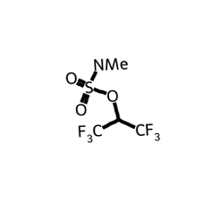 CNS(=O)(=O)OC(C(F)(F)F)C(F)(F)F